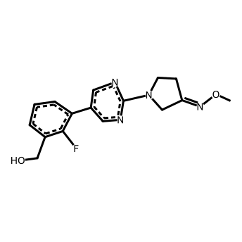 CO/N=C1\CCN(c2ncc(-c3cccc(CO)c3F)cn2)C1